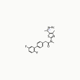 CC(=O)/N=S(/C)c1sc(N(C)C(=O)Cc2ccc(-c3cc(F)ccc3F)cc2)nc1C